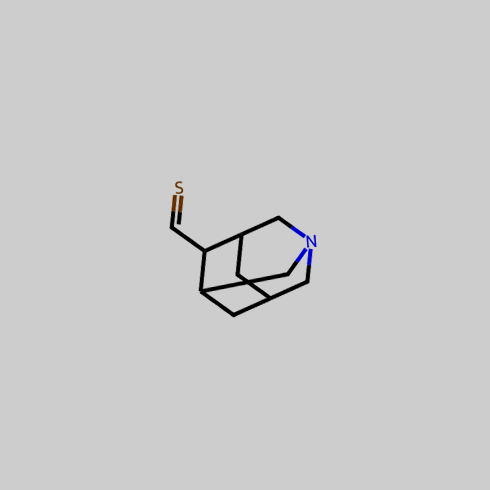 S=CC1C2CC3CC1CN(C3)C2